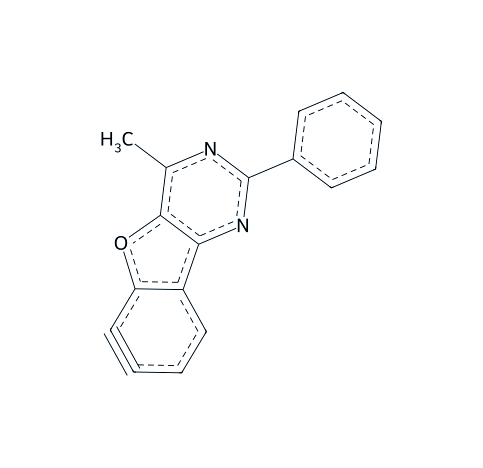 Cc1nc(-c2ccccc2)nc2c1oc1c#cccc12